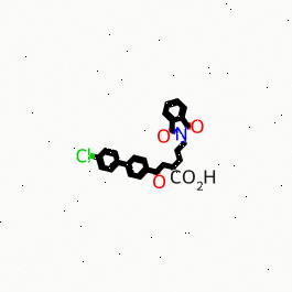 O=C(CC(CCCN1C(=O)c2ccccc2C1=O)C(=O)O)c1ccc(-c2ccc(Cl)cc2)cc1